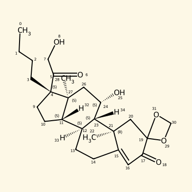 CCCC[C@]1(C(=O)CO)CC[C@H]2[C@@H]3CCC4=CC(=O)C5(C[C@]4(C)[C@H]3[C@@H](O)C[C@@]21C)OCO5